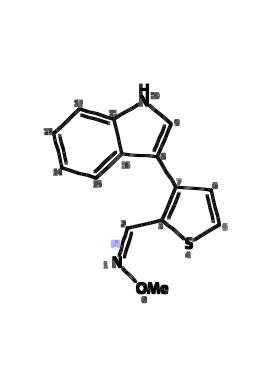 CO/N=C\c1sccc1-c1c[nH]c2ccccc12